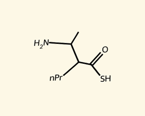 CCCC(C(=O)S)C(C)N